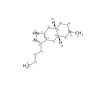 CCCCc1n[nH]c2c1C[C@H]1CN(C)CC[C@H]1C2